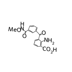 CONC(=O)c1cccc(C(=O)c2cccc(C(=O)O)c2N)c1